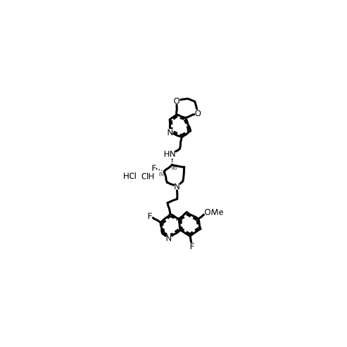 COc1cc(F)c2ncc(F)c(CCN3CC[C@@H](NCc4cc5c(cn4)OCCO5)[C@@H](F)C3)c2c1.Cl.Cl